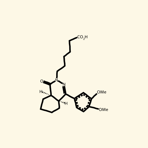 COc1ccc(C2=NN(CCCCCC(=O)O)C(=O)[C@@H]3CCCC[C@H]23)cc1OC